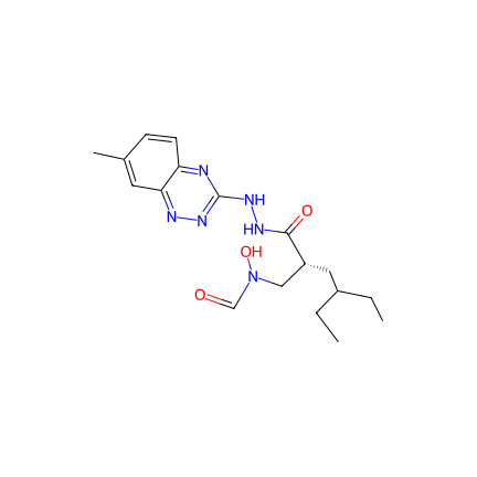 CCC(CC)C[C@H](CN(O)C=O)C(=O)NNc1nnc2cc(C)ccc2n1